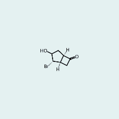 O=C1C[C@H]2[C@H](Br)C(O)C[C@@H]12